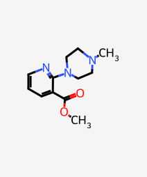 COC(=O)c1cccnc1N1CCN(C)CC1